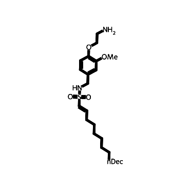 CCCCCCCCCCCCCCCCC=CS(=O)(=O)NCc1ccc(OCCN)c(OC)c1